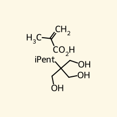 C=C(C)C(=O)O.CCCC(C)C(CO)(CO)CO